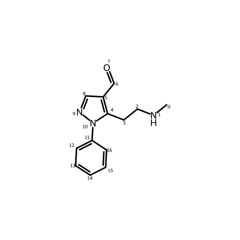 CNCCc1c(C=O)cnn1-c1ccccc1